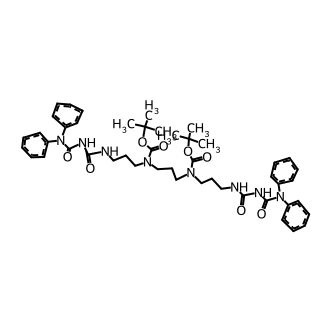 CC(C)(C)OC(=O)N(CCCNC(=O)NC(=O)N(c1ccccc1)c1ccccc1)CCCN(CCCNC(=O)NC(=O)N(c1ccccc1)c1ccccc1)C(=O)OC(C)(C)C